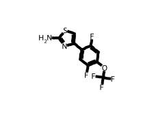 Nc1nc(-c2cc(F)c(OC(F)(F)F)cc2F)cs1